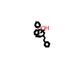 CC#CC(CCc1ccccc1)CC(C)(C)[Si](O)(c1ccccc1)c1ccccc1